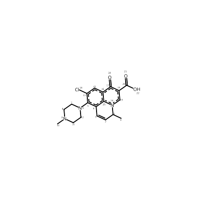 CC1C=Cc2c(N3CCN(C)CC3)c(Cl)cc3c(=O)c(C(=O)O)cn1c23